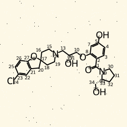 O=C(c1ccc(O)cc1OC[C@H](O)CN1CCC2(CC1)Cc1cc(Cl)ccc1O2)N1CCC[C@@H]1CO